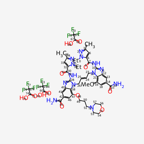 CCn1nc(C)cc1C(=O)Nc1nc2cc(C(N)=O)cc(OC)c2n1C/C=C/Cn1c(NC(=O)c2cc(C)nn2CC)nc2cc(C(N)=O)cc(OCCCN3CCOCC3)c21.O=C(O)C(F)(F)F.O=C(O)C(F)(F)F.O=C(O)C(F)(F)F